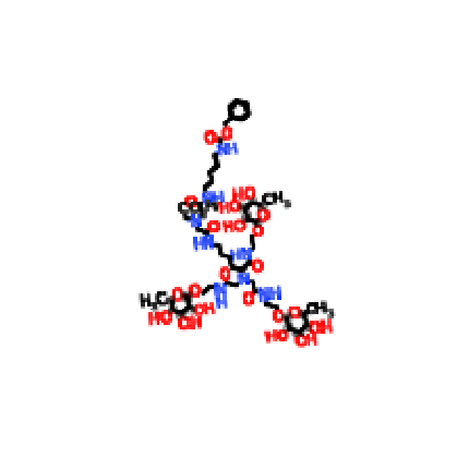 C[C@@H]1O[C@@H](OCCNC(=O)CN(CC(=O)NCCO[C@@H]2O[C@@H](C)[C@@H](O)[C@@H](O)[C@@H]2O)C(CCCCNC(=O)CN(CC(=O)O)CC(=O)NCCCCCNC(=O)OCc2ccccc2)C(=O)NCCO[C@@H]2O[C@@H](C)[C@@H](O)[C@@H](O)[C@@H]2O)[C@@H](O)[C@H](O)[C@@H]1O